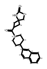 O=C1NC2(CO1)CC(C(=O)N1CCC(c3ccc4ccccc4c3)CC1)C2